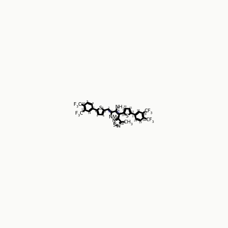 CNC(=C\c1ccc(-c2ccc(C(F)(F)F)c(C(F)(F)F)c2)s1)/C(N)=C(/c1ccc(-c2ccc(C(F)(F)F)c(C(F)(F)F)c2)s1)c1nsnc1C